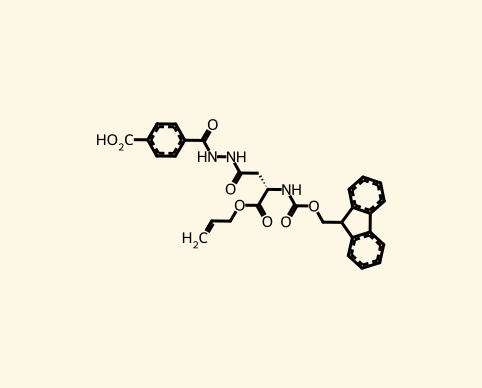 C=CCOC(=O)[C@H](CC(=O)NNC(=O)c1ccc(C(=O)O)cc1)NC(=O)OCC1c2ccccc2-c2ccccc21